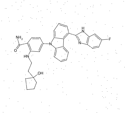 NC(=O)c1ccc(-n2c3ccccc3c3c(-c4nc5ccc(F)cc5[nH]4)cccc32)cc1NCCC1(O)CCCC1